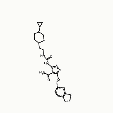 NC(=O)c1c(OCc2ccc3c(c2)OCC3)nsc1NC(=O)NCCC1CCN(C2CC2)CC1